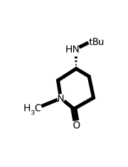 CN1C[C@H](NC(C)(C)C)CCC1=O